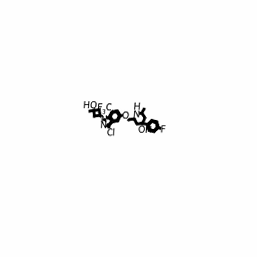 CC1CC(O)(c2ccc(F)cc2)CC(COc2cc(C(F)(F)F)c3c(c2)c(Cl)nn3C2CC(C)(O)C2)N1